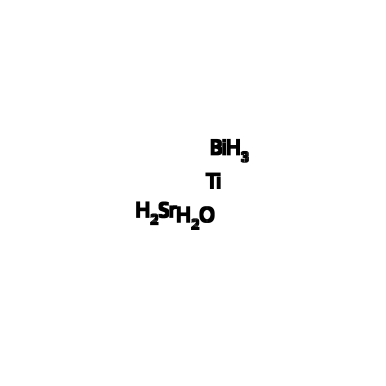 O.[BiH3].[SrH2].[Ti]